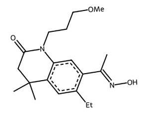 CCc1cc2c(cc1C(C)=NO)N(CCCOC)C(=O)CC2(C)C